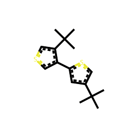 CC(C)(C)c1csc(-c2cscc2C(C)(C)C)c1